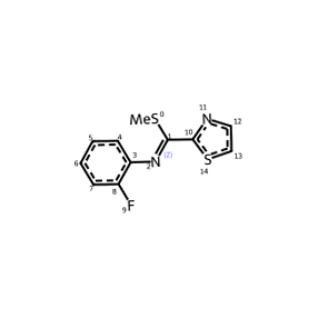 CS/C(=N\c1ccccc1F)c1nccs1